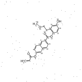 C=CC(=O)Oc1ccc2cc(C(=O)Oc3ccc(O)cc3CCOC)ccc2c1